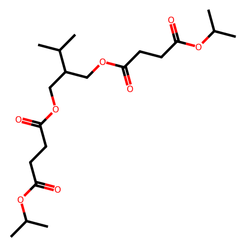 CC(C)OC(=O)CCC(=O)OCC(COC(=O)CCC(=O)OC(C)C)C(C)C